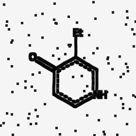 CCc1c[nH]ccc1=O